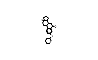 CC12CCCC1C1CC(=O)c3cc(OC4CCCCO4)ccc3C1CC2